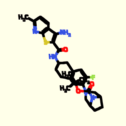 Cc1ccc2c(N)c(C(=O)NC3CCc4cc(N5CC6CCC(C5)N6C(=O)OC(C)(C)C)c(F)cc4C3)sc2n1